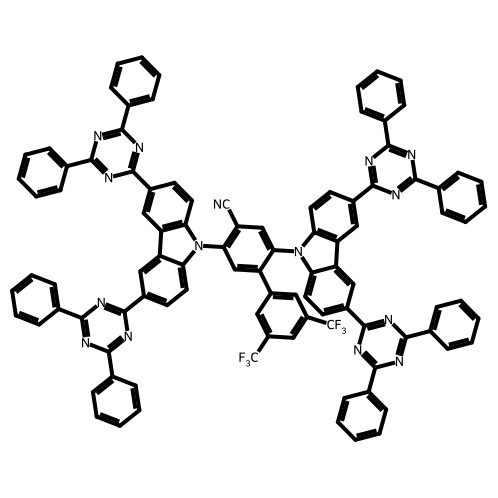 N#Cc1cc(-n2c3ccc(-c4nc(-c5ccccc5)nc(-c5ccccc5)n4)cc3c3cc(-c4nc(-c5ccccc5)nc(-c5ccccc5)n4)ccc32)c(-c2cc(C(F)(F)F)cc(C(F)(F)F)c2)cc1-n1c2ccc(-c3nc(-c4ccccc4)nc(-c4ccccc4)n3)cc2c2cc(-c3nc(-c4ccccc4)nc(-c4ccccc4)n3)ccc21